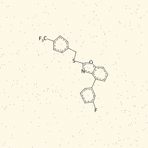 Fc1cccc(-c2cccc3oc(SCc4ccc(C(F)(F)F)cc4)nc23)c1